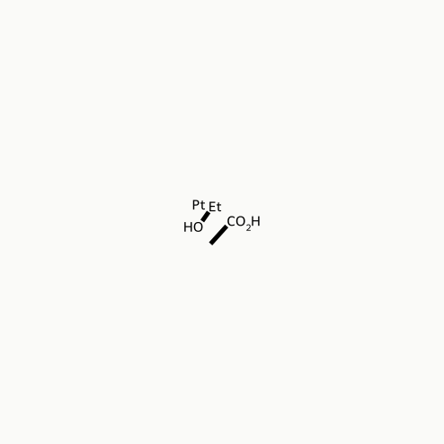 CC(=O)O.CCO.[Pt]